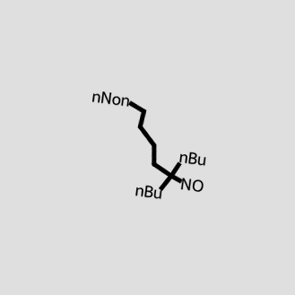 CCCCCCCCCCCCCC(CCCC)(CCCC)N=O